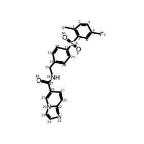 Cc1ccc(F)cc1S(=O)(=O)c1ccc(CNC(=O)c2ccc3nccn3c2)cc1